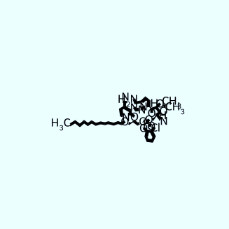 CCCCCCCCCCCCCCOC[C@H](COP(=O)(OC[C@@]1(C#N)O[C@@H](c2ccc3c(N)ncnn23)[C@@H]2OC(C)(C)O[C@@H]21)Oc1ccccc1Cl)Oc1cc(C#N)ccn1